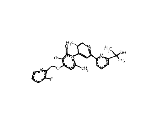 Cc1cc(OCc2ncccc2F)c(Cl)c(=O)n1C1=CC(c2cccc(C(C)(C)O)n2)=NC[C@H]1C